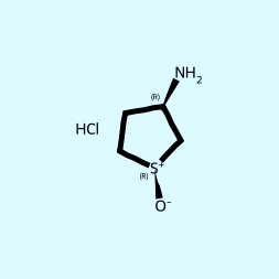 Cl.N[C@@H]1CC[S@+]([O-])C1